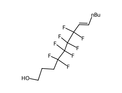 CCCC/C=C/C(F)(F)C(F)(F)C(F)(F)C(F)(F)CCCO